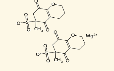 CC1(S(=O)(=O)[O-])CC(=O)C2=C(CCCO2)C1=O.CC1(S(=O)(=O)[O-])CC(=O)C2=C(CCCO2)C1=O.[Mg+2]